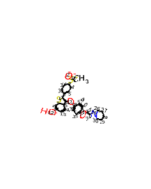 C[S+]([O-])C1CC=C(c2sc3cc(O)ccc3c2Oc2ccc(OCCN3CCCCC3)cc2)CC1